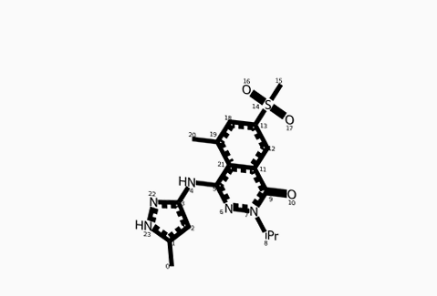 Cc1cc(Nc2nn(C(C)C)c(=O)c3cc(S(C)(=O)=O)cc(C)c23)n[nH]1